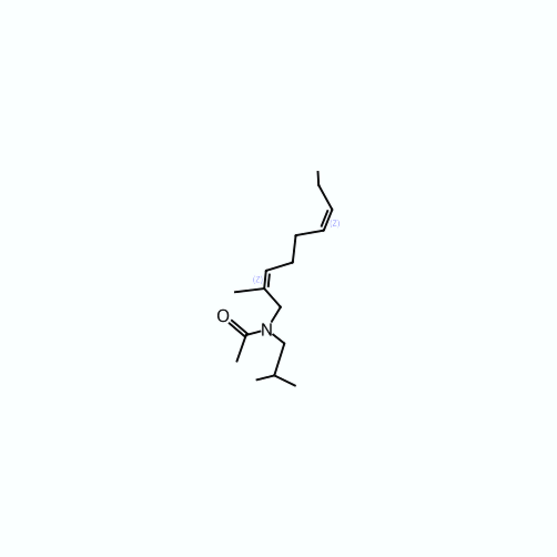 CC/C=C\CC/C=C(/C)CN(CC(C)C)C(C)=O